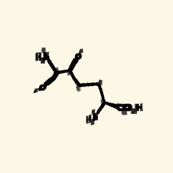 NC(=O)C(=O)CC[C@H](N)C(=O)O